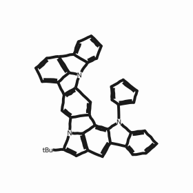 CC(C)(C)c1cc2cc3c4ccccc4n(-c4ccccc4)c3c3c4cc5c(cc4n1c23)c1cccc2c3ccccc3n5c21